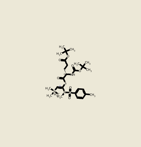 Cc1ccc(S(=O)(=O)N(C)/C(=C\[Si](C)(C)C)SC(=O)[C@H](CCC(=O)OC(C)(C)C)NC(=O)OC(C)(C)C)cc1